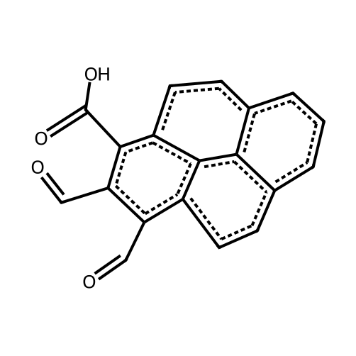 O=Cc1c(C=O)c2ccc3cccc4ccc(c1C(=O)O)c2c34